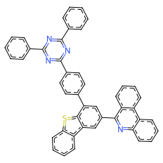 c1ccc(-c2nc(-c3ccccc3)nc(-c3ccc(-c4cc(-c5nc6ccccc6c6ccccc56)cc5c4sc4ccccc45)cc3)n2)cc1